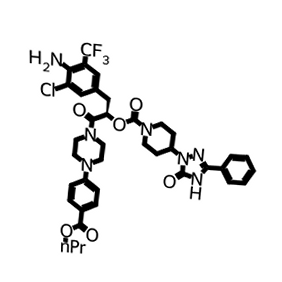 CCCOC(=O)c1ccc(N2CCN(C(=O)[C@@H](Cc3cc(Cl)c(N)c(C(F)(F)F)c3)OC(=O)N3CCC(n4nc(-c5ccccc5)[nH]c4=O)CC3)CC2)cc1